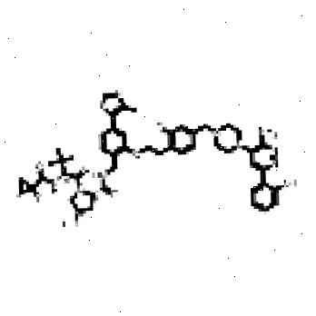 Cc1ncsc1-c1ccc(CNC(=O)[C@@H]2C[C@@H](O)CN2C(=O)[C@@H](NC(=O)C2(F)CC2)C(C)(C)C)c(OCCc2ccc(CN3CCN(c4cc(-c5ccccc5O)nnc4N)CC3)cc2F)c1